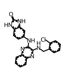 O=c1[nH]c2ccc(Nc3nc4ccccc4nc3NCc3ccccc3Cl)cc2[nH]1